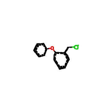 ClCc1ccccc1Oc1ccccc1